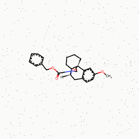 COc1ccc2c(c1)[C@@]13CCCC[C@@]1(O)[C@@H](C2)N(C(=O)OCc1ccccc1)CC3